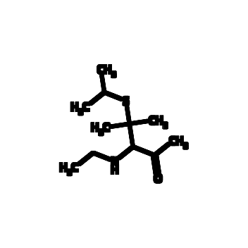 CCNC(C(C)=O)C(C)(C)SC(C)C